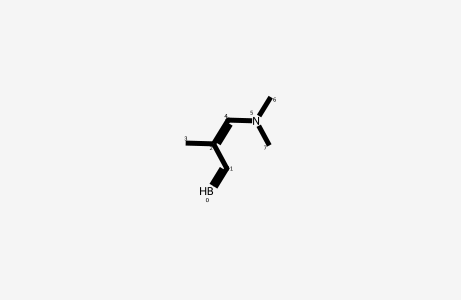 B=C/C(C)=C\N(C)C